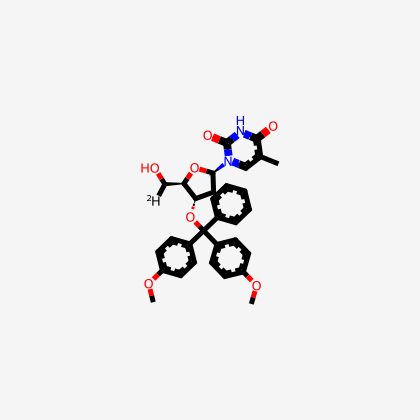 [2H]C(O)[C@H]1O[C@@H](n2cc(C)c(=O)[nH]c2=O)C[C@@H]1OC(c1ccccc1)(c1ccc(OC)cc1)c1ccc(OC)cc1